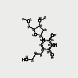 COCC1OC(n2cc(C=CCO)c(=O)[nH]c2=O)CC1OC